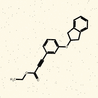 CCOC(=O)C#Cc1cccc(OC2Cc3ccccc3C2)c1